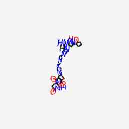 O=C1CCC(N2C(=O)c3ccc(N4CCN(CCN5CCC(N6CCN7c8cc(-c9ccccc9O)nnc8NC[C@H]7C6)C5)CC4)cc3C2=O)C(=O)N1